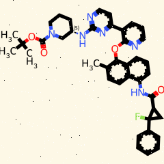 Cc1ccc2c(NC(=O)C3CC3(F)c3ccccc3)cccc2c1Oc1ncccc1-c1ccnc(N[C@H]2CCCN(C(=O)OC(C)(C)C)C2)n1